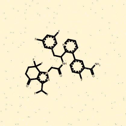 NC(=O)c1cc(-c2cccnc2C(Cc2cc(F)cc(F)c2)NC(=O)Cn2nc(C(F)F)c3c2C(F)(F)CCC3=O)ccc1F